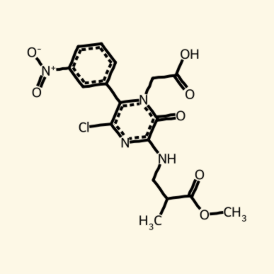 COC(=O)C(C)CNc1nc(Cl)c(-c2cccc([N+](=O)[O-])c2)n(CC(=O)O)c1=O